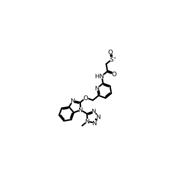 Cn1nnnc1-n1c(OCc2cccc(NC(=O)C[S+]=O)n2)nc2ccccc21